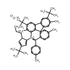 CCCC1C=C(C(C)(C)C)C=[C]1[Zr+2](=[C](c1ccc(C)cc1)c1ccc(C)cc1)[c]1c(C)c(C(C)(C)C)cc2c1Cc1cc(C)c(C(C)(C)C)cc1-2.[Cl-].[Cl-]